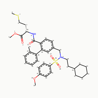 COC(=O)[C@H](CCSC)NC(=O)c1ccc(CN(CCC2CCCCC2)S(=O)(=O)c2ccc(OC)cc2)cc1-c1ccccc1C